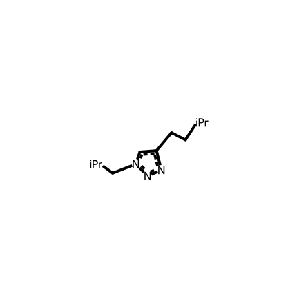 CC(C)CCc1cn(CC(C)C)nn1